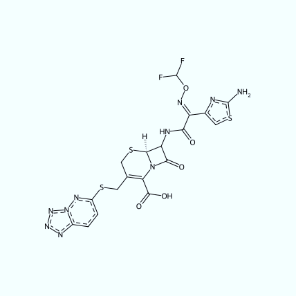 Nc1nc(C(=NOC(F)F)C(=O)NC2C(=O)N3C(C(=O)O)=C(CSc4ccc5nnnn5n4)CS[C@@H]23)cs1